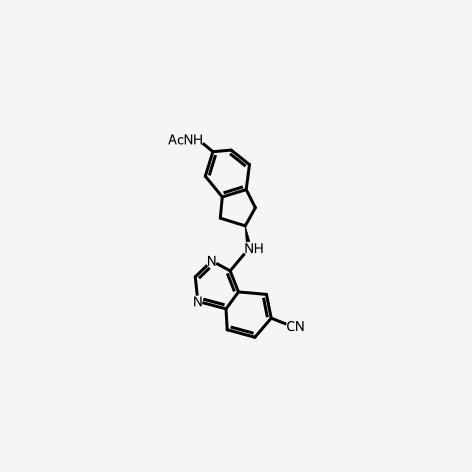 CC(=O)Nc1ccc2c(c1)C[C@H](Nc1ncnc3ccc(C#N)cc13)C2